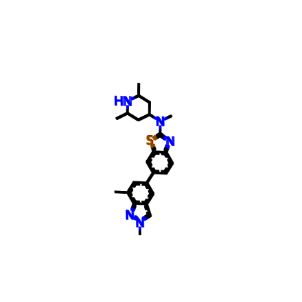 Cc1cc(-c2ccc3nc(N(C)C4CC(C)NC(C)C4)sc3c2)cc2cn(C)nc12